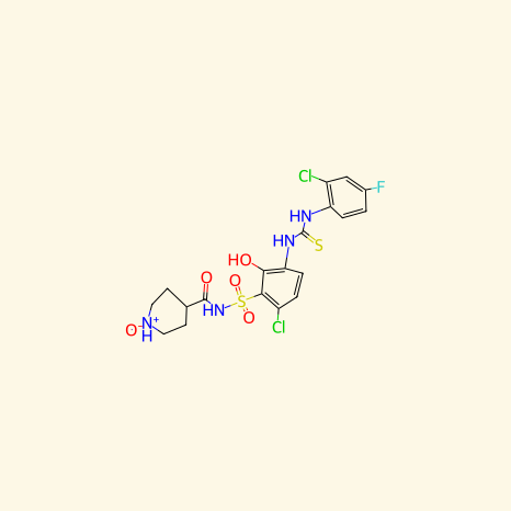 O=C(NS(=O)(=O)c1c(Cl)ccc(NC(=S)Nc2ccc(F)cc2Cl)c1O)C1CC[NH+]([O-])CC1